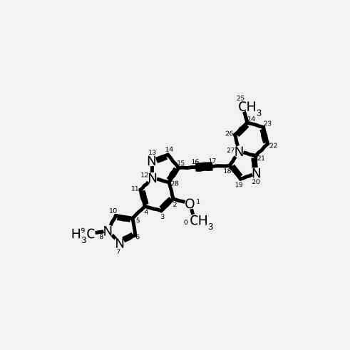 COc1cc(-c2cnn(C)c2)cn2ncc(C#Cc3cnc4ccc(C)cn34)c12